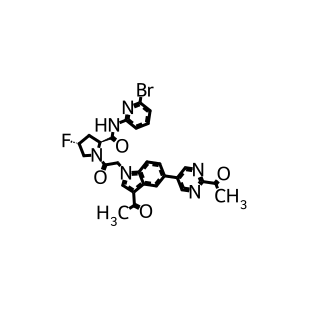 CC(=O)c1ncc(-c2ccc3c(c2)c(C(C)=O)cn3CC(=O)N2C[C@H](F)C[C@H]2C(=O)Nc2cccc(Br)n2)cn1